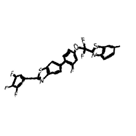 Cc1ccc2nc(C(F)(F)Oc3ccc(-c4ccc5nc(-c6cc(F)c(F)c(F)c6)sc5c4)c(F)c3)sc2c1